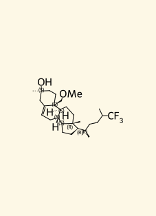 COC[C@]12CC[C@](C)(O)CC1=CC[C@@H]1[C@@H]2CC[C@]2(C)[C@@H]([C@H](C)CCC(C)C(F)(F)F)CC[C@@H]12